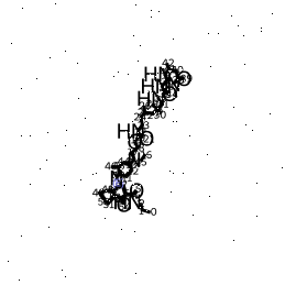 CCCNC(=O)C1=C/C(=N\c2ccc(N(CC)CCOC(=O)NCCC(C)CC(C)(C)CNC(=O)Nc3nc(=O)cc(C)[nH]3)cc2C)c2ccccc2C1=O